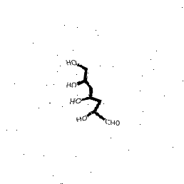 O=CC(O)CC(O)CC(O)CO